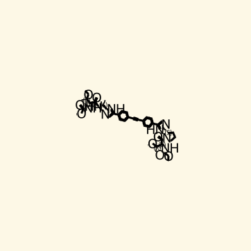 COC(=O)N[C@H](C(=O)N[C@@H](C)c1ncc(-c2ccc(C#Cc3ccc(-c4cnc([C@@H]5CCCN5C(=O)[C@@H](NC(=O)OC)[C@@H](C)OC)[nH]4)cc3)cc2)[nH]1)[C@@H](C)OC